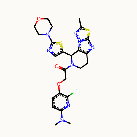 Cc1nn2c3c(nc2s1)CCN(C(=O)COc1ccc(N(C)C)nc1Cl)C3c1cnc(N2CCOCC2)s1